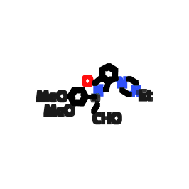 CCN1CCN(c2cccc3c2CN([C@H](CCC=O)c2ccc(OC)c(OC)c2)C3=O)CC1